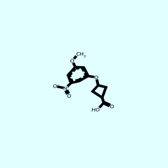 COc1cc(OC2CC(C(=O)O)C2)cc([N+](=O)[O-])c1